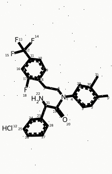 Cc1ccc(N(CCc2ccc(C(F)(F)F)cc2F)C(=O)C(N)c2ccccc2)cc1C.Cl